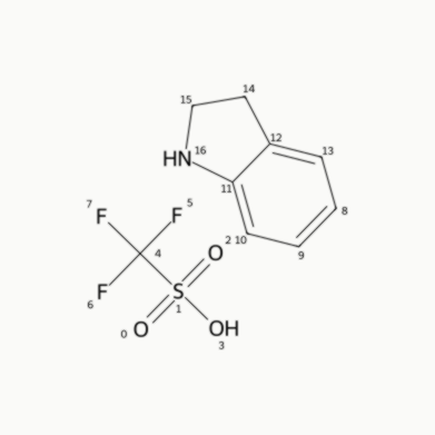 O=S(=O)(O)C(F)(F)F.c1ccc2c(c1)CCN2